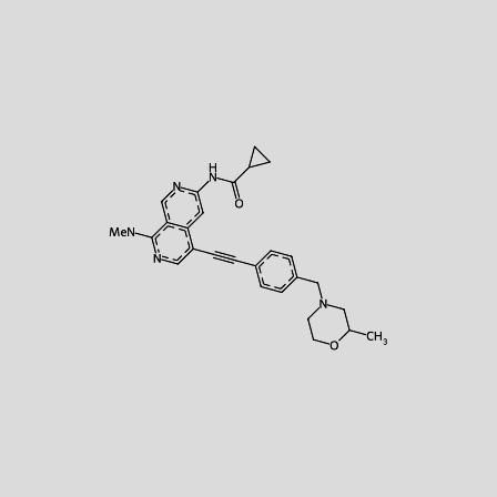 CNc1ncc(C#Cc2ccc(CN3CCOC(C)C3)cc2)c2cc(NC(=O)C3CC3)ncc12